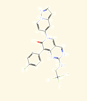 O=c1c(-c2ccc(Cl)cc2)c2nc(NCC(F)(F)F)ncc2cn1-c1ccn2nccc2c1